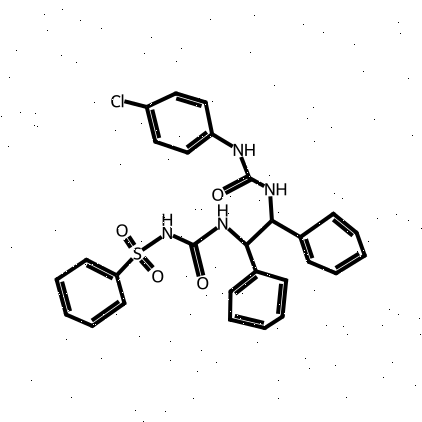 O=C(Nc1ccc(Cl)cc1)NC(c1ccccc1)C(NC(=O)NS(=O)(=O)c1ccccc1)c1ccccc1